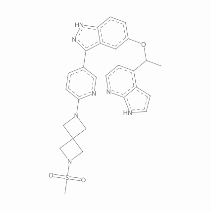 CC(Oc1ccc2[nH]nc(-c3ccc(N4CC5(C4)CN(S(C)(=O)=O)C5)nc3)c2c1)c1ccnc2[nH]ccc12